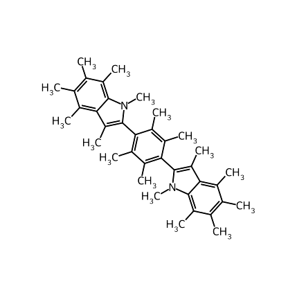 Cc1c(C)c(-c2c(C)c3c(C)c(C)c(C)c(C)c3n2C)c(C)c(C)c1-c1c(C)c2c(C)c(C)c(C)c(C)c2n1C